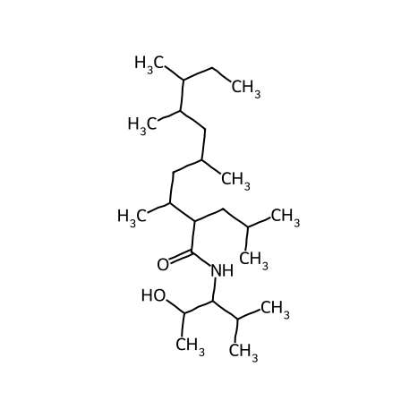 CCC(C)C(C)CC(C)CC(C)C(CC(C)C)C(=O)NC(C(C)C)C(C)O